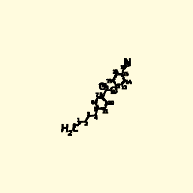 C=CCCCc1ccc(C(=O)Oc2ccc(C#N)cc2)cc1